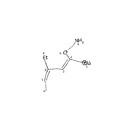 C/C=C(\C=C(/ON)C(C)(C)C)CC